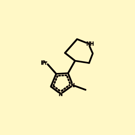 CC(C)c1cnn(C)c1C1CCNCC1